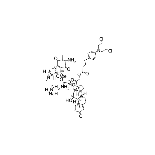 CO[C@@]12[C@H](COC(N)=O)C3=C(C(=O)C(C)=C(N)C3=O)N1C[C@H]1[C@@H]2N1C.C[C@]12C=CC(=O)C=C1CC[C@@H]1[C@@H]2[C@@H](O)C[C@@]2(C)[C@H]1CC[C@]2(O)C(=O)COC(=O)CCCc1ccc(N(CCCl)CCCl)cc1.NN.[NaH]